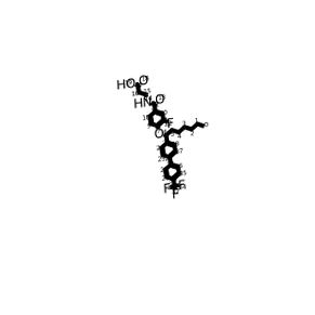 CCCCCCC(Oc1ccc(C(=O)NCCC(=O)O)cc1F)c1ccc(-c2ccc(C(F)(F)F)cc2)cc1